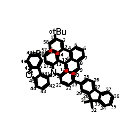 CC(C)(C)c1cc(-c2cccc3cccc(-c4ccccc4N(c4ccc(-c5ccc6c(c5)C(C)(C)c5ccccc5-6)cc4)c4cccc5oc6ccccc6c45)c23)cc(C(C)(C)C)c1